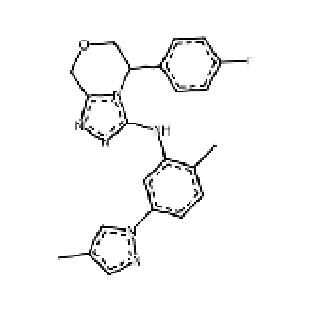 Cc1cnn(-c2ccc(C)c(Nc3nnc4n3C(c3ccc(F)cc3)COC4)c2)c1